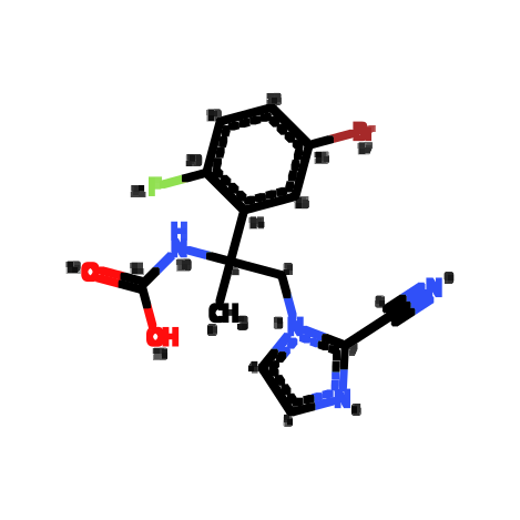 CC(Cn1ccnc1C#N)(NC(=O)O)c1cc(Br)ccc1F